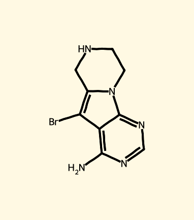 Nc1ncnc2c1c(Br)c1n2CCNC1